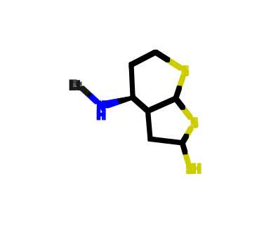 CCN[C@H]1CCSC2SC(S)CC21